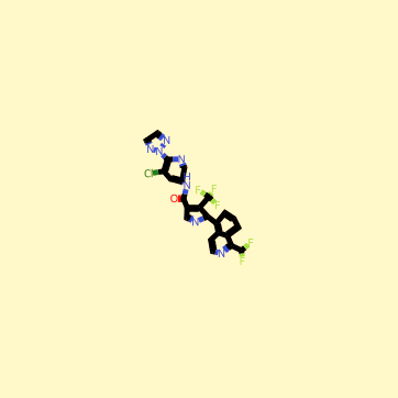 O=C(Nc1cnc(-n2nccn2)c(Cl)c1)C1=C(C(F)(F)F)C(c2cccc3c(C(F)F)nccc23)N=C1